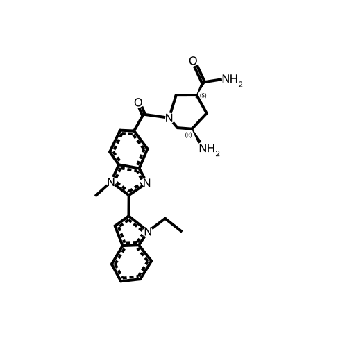 CCn1c(-c2nc3cc(C(=O)N4C[C@H](N)C[C@H](C(N)=O)C4)ccc3n2C)cc2ccccc21